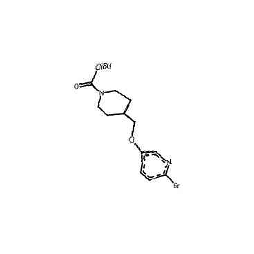 CC(C)COC(=O)N1CCC(COc2ccc(Br)nc2)CC1